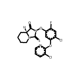 O=C1[C@H]2CCCCN2C(=S)N1Oc1cc(Oc2ncccc2Cl)c(Cl)cc1F